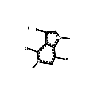 Cn1cc(I)c2c(Cl)[n+](C)cc(F)c21.[I-]